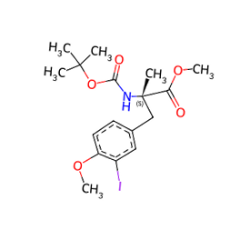 COC(=O)[C@](C)(Cc1ccc(OC)c(I)c1)NC(=O)OC(C)(C)C